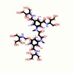 CN(C(=O)CC(=O)N(C)c1c(I)c(C(=O)NC(CO)C(O)CO)c(I)c(C(=O)NC(CO)C(O)CO)c1I)c1c(I)c(OCNC(CO)C(O)CO)c(I)c(C(=O)NC(CO)C(O)CO)c1I